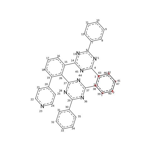 c1ccc(-c2nc(-c3ccccc3)nc(-c3cccc(-c4ccncc4)c3-c3nc(-c4ccccc4)nc(-c4ccccc4)n3)n2)cc1